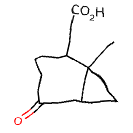 CC12CC1C(=O)CC2C(=O)O